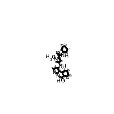 Cn1cc(Nc2ccnc3[nH]c(=O)c4ccccc4c23)cc1C(=O)Nc1ccccc1